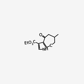 CCOC(=O)c1c[nH]c2c1C(=O)CC(C)CC2